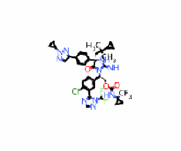 CC(C)(C[C@]1(c2ccc(-c3cnn(C4CC4)n3)cc2)NC(=N)N([C@H](COC(=O)NC2(C(F)(F)F)CC2)c2ccc(Cl)c(-c3ncnn3C(F)F)c2)C1=O)C1CC1